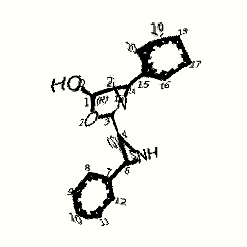 O[C@@H]1OC([C@H]2NC2c2ccccc2)[N@]2C(c3ccccc3)C12